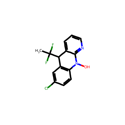 CC(F)(F)C1c2cc(Cl)ccc2N(O)c2ncccc21